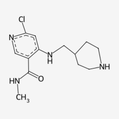 CNC(=O)c1cnc(Cl)cc1NCC1CCNCC1